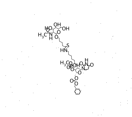 COP(=O)(O)OC1[C@@H](COC(=O)OCc2ccccc2)O[C@@H](n2ccc(=O)[nH]c2=O)[C@H]1CCCCCCCNC(=S)CCCCO[C@@H]1O[C@H](CO)[C@H](O)[C@H](O)[C@H]1NC(C)=O